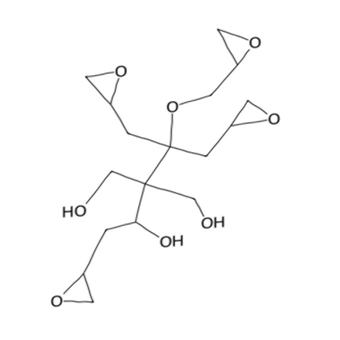 OCC(CO)(C(O)CC1CO1)C(CC1CO1)(CC1CO1)OCC1CO1